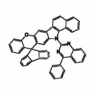 c1ccc(-c2nc(-n3c4cc5c(cc4c4ccc6ccccc6c43)Oc3ccccc3C53c4ccccc4-c4ccccc43)nc3ccccc23)cc1